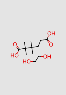 CC(C)(CCC(=O)O)C(C)(C)C(=O)O.OCCO